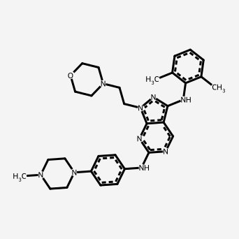 Cc1cccc(C)c1Nc1nn(CCN2CCOCC2)c2nc(Nc3ccc(N4CCN(C)CC4)cc3)ncc12